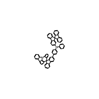 c1ccc(N(c2ccc(-c3ccc4c(c3)C3(c5ccccc5-4)c4ccccc4-n4c5ccccc5c5cccc3c54)cc2)c2ccc3c(c2)C2(c4ccccc4-c4ccccc42)c2ccccc2-3)cc1